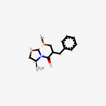 CC(=O)SCC(Cc1ccccc1)C(=O)N1CSC[C@@H]1C(=O)O